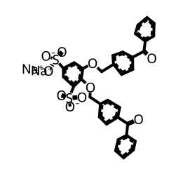 O=C(c1ccccc1)c1ccc(COc2cc(S(=O)(=O)[O-])cc(S(=O)(=O)[O-])c2OCc2ccc(C(=O)c3ccccc3)cc2)cc1.[Na+].[Na+]